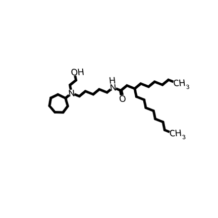 CCCCCCCCC(CCCCCC)CC(=O)NCCCCCN(CCO)C1CCCCCC1